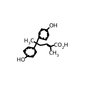 CC(=CCC(C)(c1ccc(O)cc1)c1ccc(O)cc1)C(=O)O